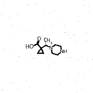 C[C@H](N1CCNCC1)C1(C(=O)O)CC1